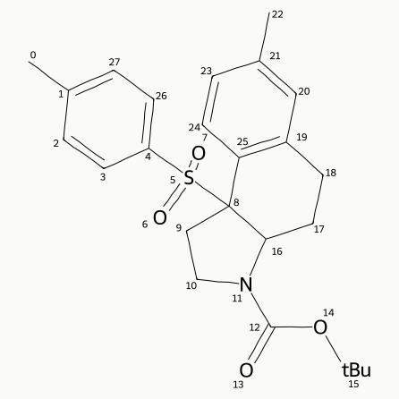 Cc1ccc(S(=O)(=O)C23CCN(C(=O)OC(C)(C)C)C2CCc2cc(C)ccc23)cc1